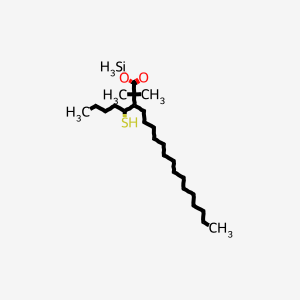 CCCCCCCCCCCCCCCC(C(S)CCCC)C(C)(C)C(=O)O[SiH3]